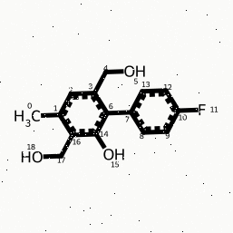 Cc1cc(CO)c(-c2ccc(F)cc2)c(O)c1CO